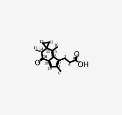 CC1=C(CCC(=O)O)C2=C(C)C3(CC3)[C@H](C)C(=O)C2=C1